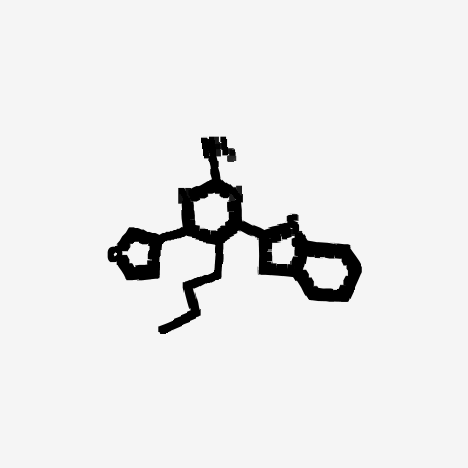 CCCCc1c(-c2ccoc2)nc(N)nc1-c1cc2ccccc2s1